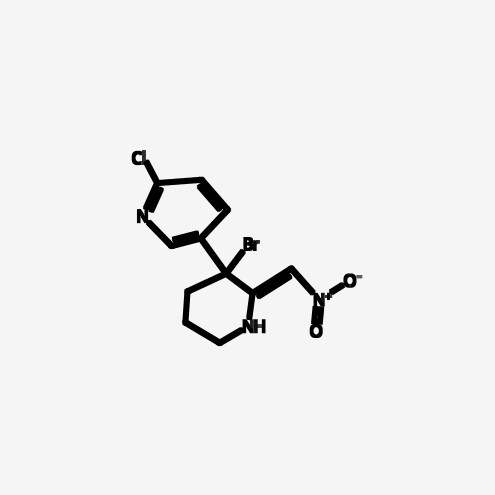 O=[N+]([O-])C=C1NCCCC1(Br)c1ccc(Cl)nc1